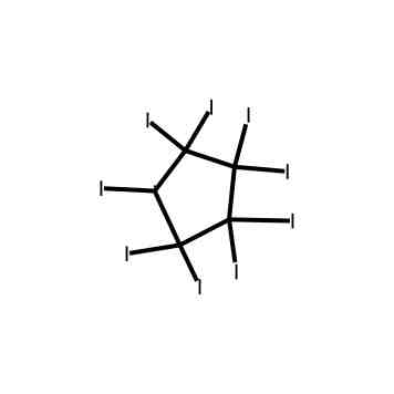 I[C]1C(I)(I)C(I)(I)C(I)(I)C1(I)I